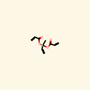 C=CC(=O)O[Si](C)(C=C)OC(=O)C=C